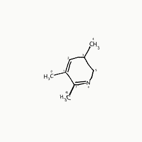 CC1=CC(C)CN=C1C